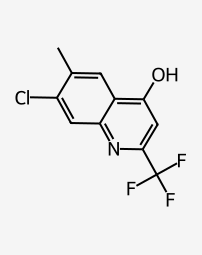 Cc1cc2c(O)cc(C(F)(F)F)nc2cc1Cl